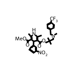 COC(=O)C1=C(C)NC(C)=C(C(=O)OCC(C)(C)CN(C)Cc2ccc(C(F)(F)F)cc2)C1c1cccc([N+](=O)[O-])c1